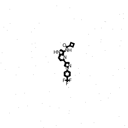 O=C(Nc1c[nH]c2ccc(-c3cnn(-c4ccc(C(F)(F)F)cc4)c3)nc12)C1CCC1